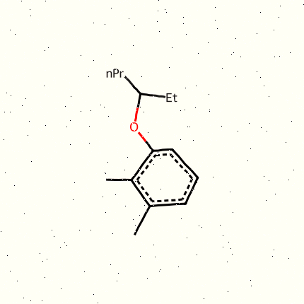 CCCC(CC)Oc1cccc(C)c1C